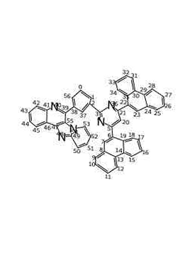 c1cc(-c2nc(-c3cc4ccccc4c4ccccc34)cc(-c3cc4ccccc4c4ccccc34)n2)cc(-c2nc3ccccc3c3nc4ccccn4c23)c1